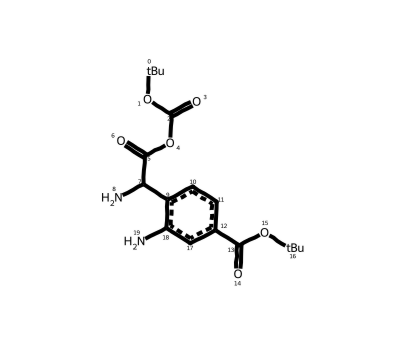 CC(C)(C)OC(=O)OC(=O)C(N)c1ccc(C(=O)OC(C)(C)C)cc1N